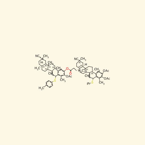 CC(=O)Oc1cc2c(c(C)c1OC(C)=O)C(SC(C)C)C=C1[C@@]2(C)CC[C@@]2(C)[C@@H]3C[C@](C)(C#N)CC[C@]3(CCC(=O)Oc3cc4c(c(C)c3OC(C)=O)C(Sc3ccc(C)cc3)C=C3[C@@]4(C)CC[C@@]4(C)[C@@H]5C[C@](C)(C#N)CC[C@]5(C)CC[C@]34C)CC[C@]12C